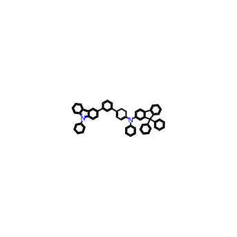 C1=C(c2cccc(-c3ccc4c(c3)c3ccccc3n4-c3ccccc3)c2)CCC(N(c2ccccc2)c2ccc3c(c2)C(c2ccccc2)(c2ccccc2)c2ccccc2-3)=C1